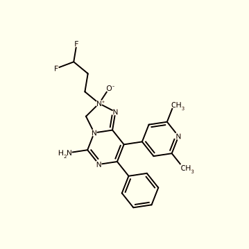 Cc1cc(C2=C(c3ccccc3)N=C(N)N3C[N+]([O-])(CCC(F)F)N=C23)cc(C)n1